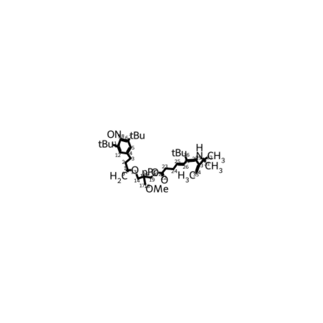 C=C(CCc1cc(C(C)(C)C)c(N=O)c(C(C)(C)C)c1)OCC(CCC)(COC)COC(=O)CCC=C/C(=C1/NC(C)(C)/C1=C/C)C(C)(C)C